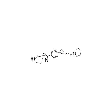 c1cc(-c2nc3c(s2)CNCC3)ccc1OCCCN1CCCCC1